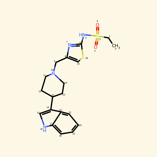 CCS(=O)(=O)Nc1nc(CN2CCC(c3c[nH]c4ccccc34)CC2)cs1